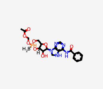 B[PH]1(OCOC(C)=O)OCC2OC(N3CNc4c(NC(=O)c5ccccc5)ncnc43)C(O)[C@@H]2O1